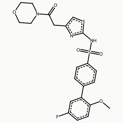 COc1ccc(F)cc1-c1ccc(S(=O)(=O)Nc2nc(CC(=O)N3CCOCC3)cs2)cc1